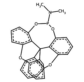 CN(C)P1Oc2cccc3c2C2(c4ccccc4O3)c3ccccc3Oc3cccc(c32)O1